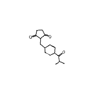 CC(C)C(=O)C1CCC(CC2C(=O)CCC2=O)CC1